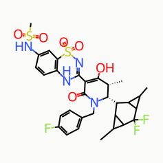 CC1C2C([C@H]3[C@@H](C)C(O)=C(C4=NS(=O)(=O)c5cc(NS(C)(=O)=O)ccc5N4)C(=O)N3Cc3ccc(F)cc3)C3C(C)C3C(F)(F)C12